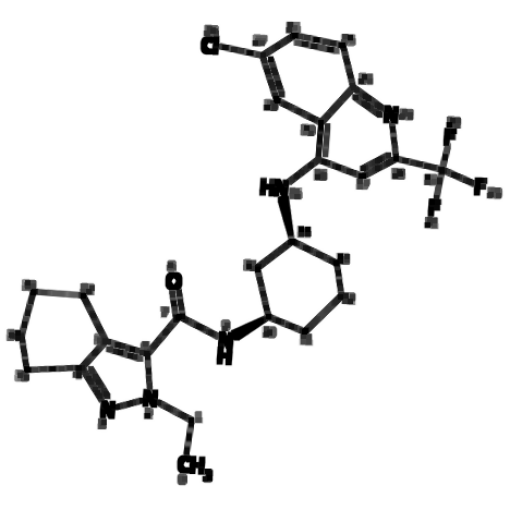 CCn1nc2c(c1C(=O)N[C@@H]1CCC[C@H](Nc3cc(C(F)(F)F)nc4ccc(Cl)cc34)C1)CCCC2